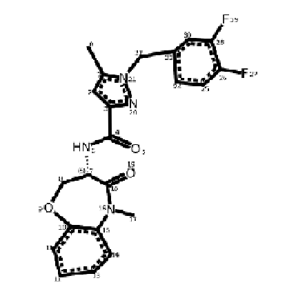 Cc1cc(C(=O)N[C@H]2COc3ccccc3N(C)C2=O)nn1Cc1ccc(F)c(F)c1